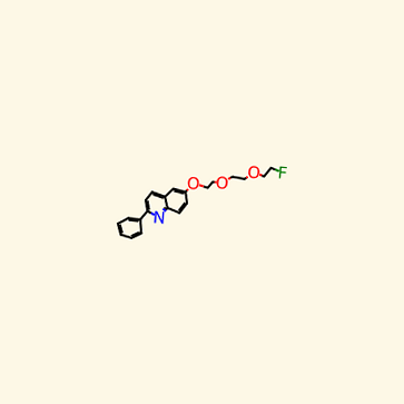 FCCOCCOCCOc1ccc2nc(-c3ccccc3)ccc2c1